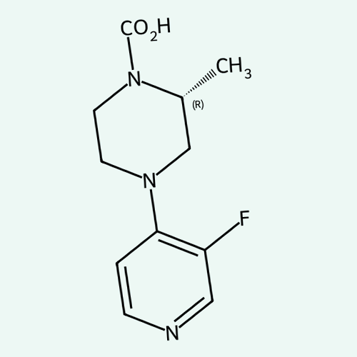 C[C@@H]1CN(c2ccncc2F)CCN1C(=O)O